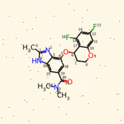 Cc1nc2c(O[C@@H]3CCOc4cc(F)cc(F)c43)cc(C(=O)N(C)C)cc2[nH]1